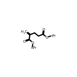 C=C(CCC(=O)OCCC)C(=O)OCCC